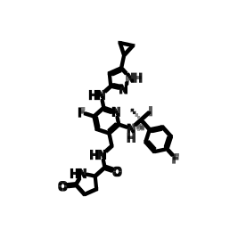 C[C@@](I)(Nc1nc(Nc2cc(C3CC3)[nH]n2)c(F)cc1CNC(=O)C1CCC(=O)N1)c1ccc(F)cc1